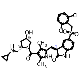 Cc1[nH]c(/C=C2\C(=O)Nc3ccc(S(=O)(=O)Cc4c(Cl)cccc4Cl)cc32)c(C)c1C(=O)N1C[C@H](O)C[C@H]1CNC1CC1